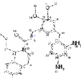 CCCC1c2ccccc2C=NN1C(=O)/C=C/c1cc(Cc2cnc(N)nc2N)cc(OC)c1OC